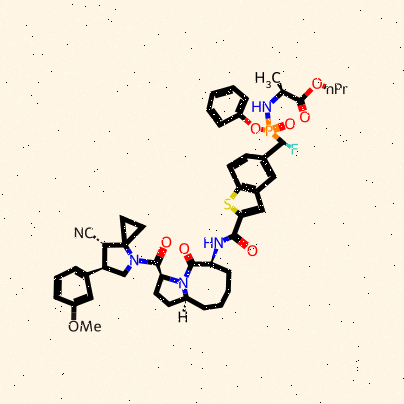 CCCOC(=O)[C@H](C)NP(=O)(Oc1ccccc1)[C@@H](F)c1ccc2sc(C(=O)N[C@H]3CCCC[C@H]4CC[C@@H](C(=O)N5C[C@@H](c6cccc(OC)c6)[C@H](C#N)C56CC6)N4C3=O)cc2c1